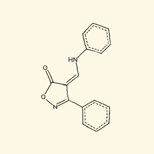 O=C1ON=C(c2ccccc2)/C1=C/Nc1ccccc1